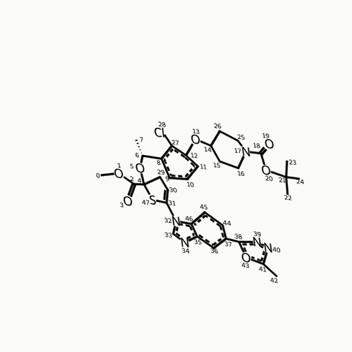 COC(=O)C1(O[C@H](C)c2cccc(OC3CCN(C(=O)OC(C)(C)C)CC3)c2Cl)CC=C(n2cnc3cc(-c4nnc(C)o4)ccc32)S1